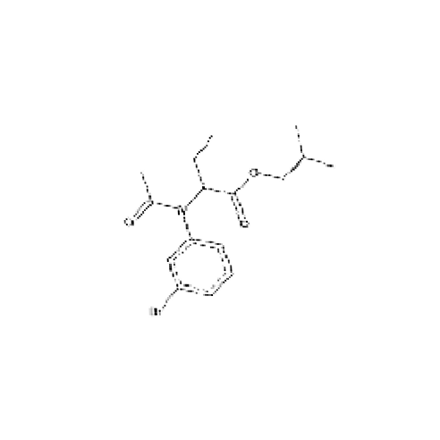 CCC(C(=O)OCC(C)C)N(C(C)=O)c1cccc(Br)c1